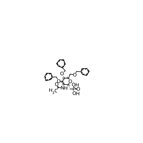 CC(=O)N[C@@H]1[C@@H](OCc2ccccc2)[C@H](OCc2ccccc2)[C@@H](COCc2ccccc2)O[C@@H]1CP(=O)(O)O